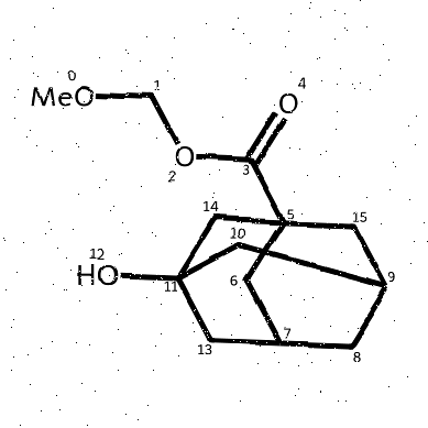 COCOC(=O)C12CC3CC(CC(O)(C3)C1)C2